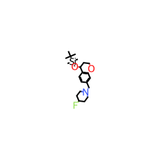 CC(C)(C)[Si](C)(C)OC1CCOc2cc(CN3CCC(F)CC3)ccc21